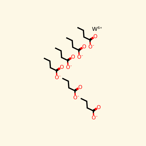 CCCC(=O)[O-].CCCC(=O)[O-].CCCC(=O)[O-].CCCC(=O)[O-].CCCC(=O)[O-].CCCC(=O)[O-].[W+6]